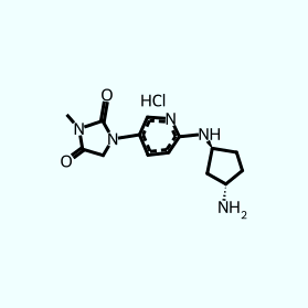 CN1C(=O)CN(c2ccc(N[C@H]3CC[C@H](N)C3)nc2)C1=O.Cl